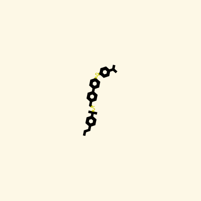 CCCc1ccc(C(C)(C)SCc2ccc(-c3ccc(Sc4ccc(C(C)C)cc4)cc3)cc2)cc1